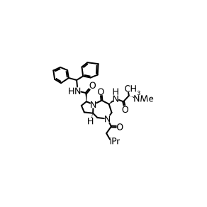 CN[C@@H](C)C(=O)N[C@H]1CN(C(=O)CC(C)C)C[C@H]2CC[C@@H](C(=O)NC(c3ccccc3)c3ccccc3)N2C1=O